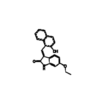 CCOC1=C=C=C2C(=C1)NC(=O)/C2=C/c1c(O)ccc2ccccc12